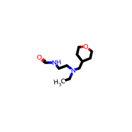 CCN(CCNC=O)CC1CCOCC1